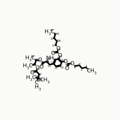 CCCCCOC(=O)Oc1ccc(C[C@H](N)C(=O)O[C@@H](C)C(C)OC(=O)CC(C)(C)C)cc1OC(=O)OCCCCC